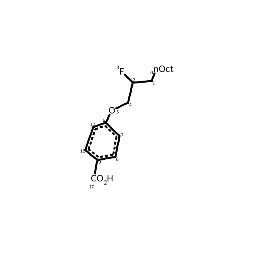 CCCCCCCCCC(F)COc1ccc(C(=O)O)cc1